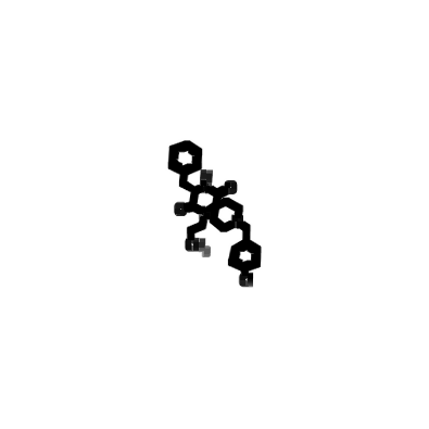 CCCN1C(=O)[C@@H](Cc2ccccc2)NC(=O)C12CCN(Cc1ccc(Cl)cc1)CC2